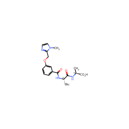 C[C@H](NC(=O)[C@@H](NC(=O)c1cccc(OCc2nccn2C)c1)C(C)(C)C)C(=O)O